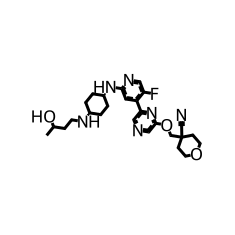 CC(O)CCN[C@H]1CC[C@H](Nc2cc(-c3cncc(OCC4(C#N)CCOCC4)n3)c(F)cn2)CC1